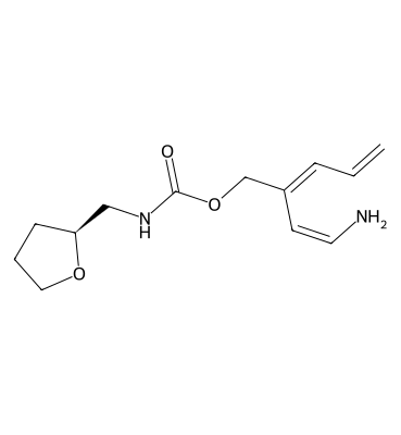 C=C/C=C(\C=C/N)COC(=O)NC[C@@H]1CCCO1